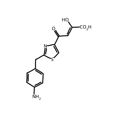 Nc1ccc(Cc2nc(C(=O)C=C(O)C(=O)O)cs2)cc1